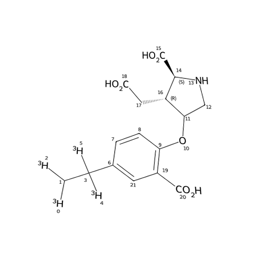 [3H]C([3H])C([3H])([3H])c1ccc(OC2CN[C@H](C(=O)O)[C@H]2CC(=O)O)c(C(=O)O)c1